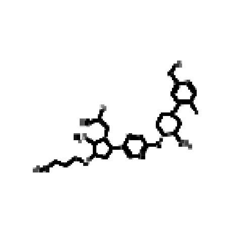 CCOc1ccc(F)c(N2CC[C@@H](Oc3cnc(N4CC(OCCCOC)C(C)C4CC(O)O)cn3)[C@H](C)C2)c1